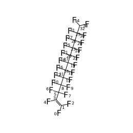 FC(F)=C(F)C(F)(F)C(F)(F)C(F)(F)C(F)(F)C(F)(F)C(F)(F)C(F)(F)C(F)(F)C(F)(F)C(F)F